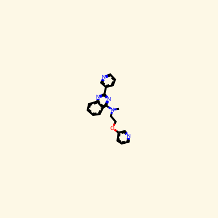 CN(CCOc1cccnc1)c1nc(-c2cccnc2)nc2ccccc12